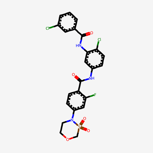 O=C(Nc1cc(NC(=O)c2ccc(N3CCOCS3(=O)=O)cc2F)ccc1Cl)c1cccc(Cl)c1